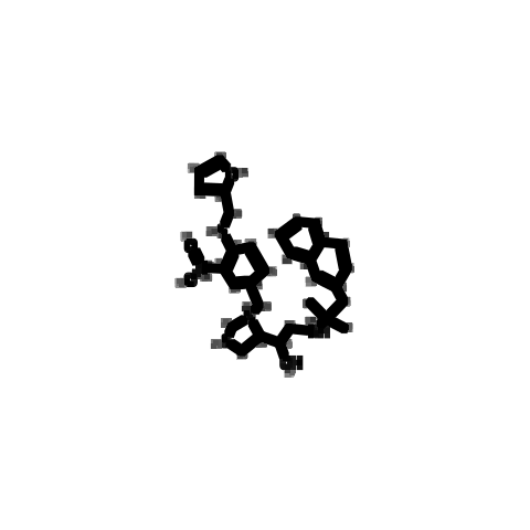 CC(C)(Cc1ccc2ccccc2c1)NCC(O)C1CSCN1Cc1ccc(SCc2ccco2)c([N+](=O)[O-])c1